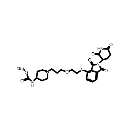 CC(C)(C)OC(=O)NC1CCN(CCCOCCNc2cccc3c2C(=O)N(C2CCC(=O)NC2=O)C3=O)CC1